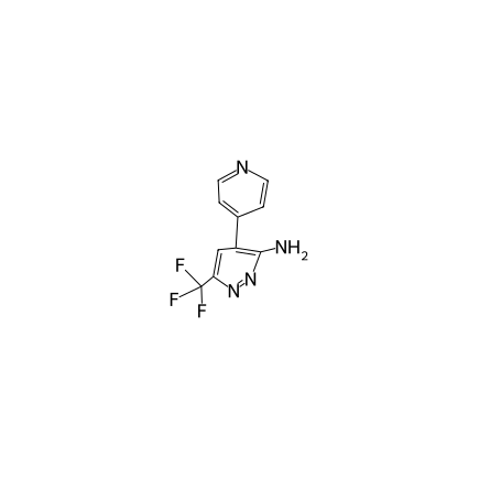 Nc1nnc(C(F)(F)F)cc1-c1ccncc1